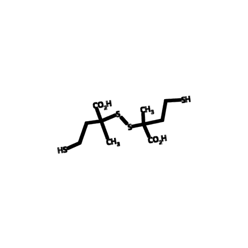 CC(CCS)(SSC(C)(CCS)C(=O)O)C(=O)O